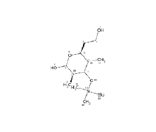 C[C@H]1C(O)O[C@@H](CCO)[C@H](C)C1O[Si](C)(C)C(C)(C)C